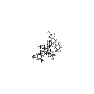 CC(C)Cc1ccc(-c2ccccc2)c(CNCC(O)C(Cc2cc(F)cc(F)c2)NC(=O)OC(C)(C)C)c1